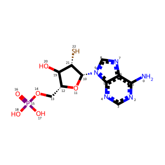 Nc1ncnc2c1ncn2[C@@H]1O[C@H](COP(=O)(O)O)C(O)[C@@H]1S